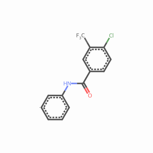 O=C(Nc1c[c]ccc1)c1ccc(Cl)c(C(F)(F)F)c1